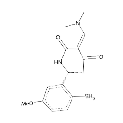 Bc1ccc(OC)cc1[C@H]1CC(=O)/C(=C/N(C)C)C(=O)N1